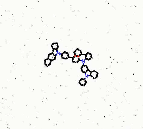 C1=CCC2C(=C1)N(c1ccccc1)c1ccc(N(c3ccc(-c4ccc(-n5c6ccccc6c6cc7ccccc7cc65)cc4)cc3)c3ccccc3-c3ccccc3)cc12